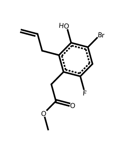 C=CCc1c(O)c(Br)cc(F)c1CC(=O)OC